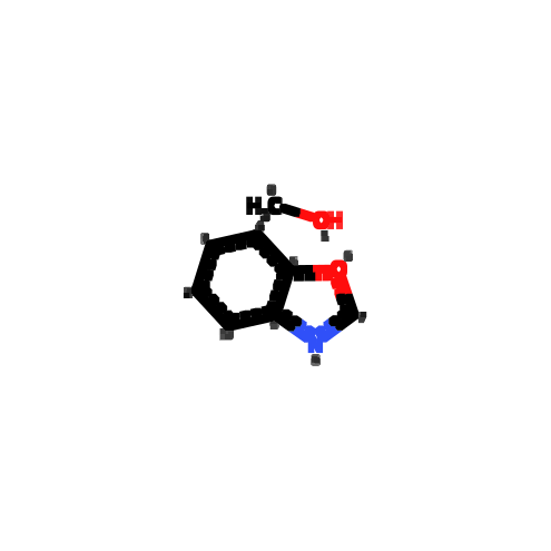 CO.c1ccc2ocnc2c1